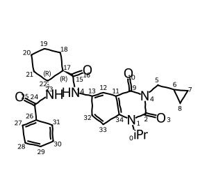 CC(C)n1c(=O)n(CC2CC2)c(=O)c2cc(NC(=O)[C@@H]3CCCC[C@H]3NC(=O)c3ccccc3)ccc21